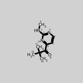 CNc1nccc(C(=O)C(C)(C)C)n1